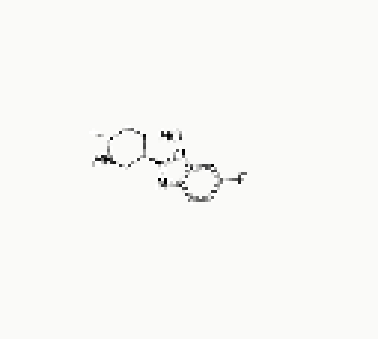 C[C@@H]1CC[C@@H](c2nc3ccc(F)cc3o2)CN1.Cl